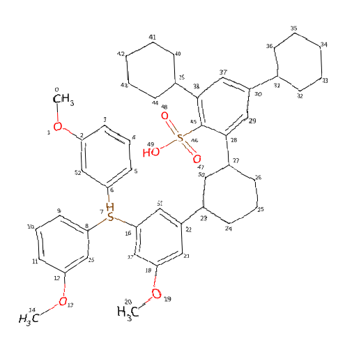 COc1cccc([SH](c2cccc(OC)c2)c2cc(OC)cc(C3CCCC(c4cc(C5CCCCC5)cc(C5CCCCC5)c4S(=O)(=O)O)C3)c2)c1